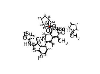 Cc1c(OC[C@@H]2CCCN2C)nc(N2CC3CCC(C2)N3C(=O)OC(C)(C)C)c2cnc(-c3ccc(F)c4sc(NC(=O)OC(C)(C)C)c(C#N)c34)c(F)c12